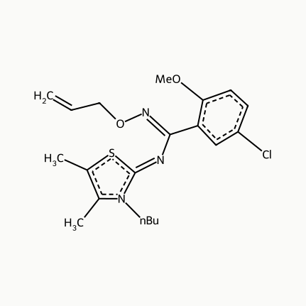 C=CCON=C(/N=c1\sc(C)c(C)n1CCCC)c1cc(Cl)ccc1OC